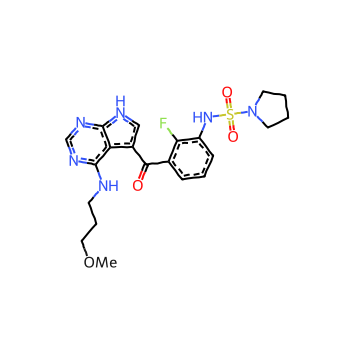 COCCCNc1ncnc2[nH]cc(C(=O)c3cccc(NS(=O)(=O)N4CCCC4)c3F)c12